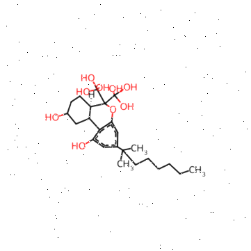 CCCCCCC(C)(C)c1cc(O)c2c(c1)OC(C(O)(O)O)(C(O)(O)O)[C@@H]1CCC(O)CC21